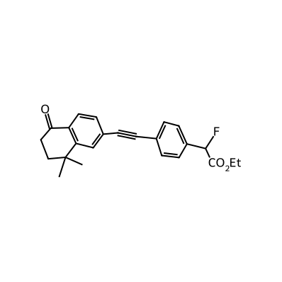 CCOC(=O)C(F)c1ccc(C#Cc2ccc3c(c2)C(C)(C)CCC3=O)cc1